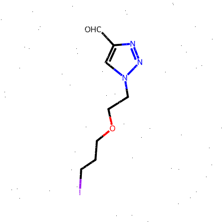 O=Cc1cn(CCOCCCI)nn1